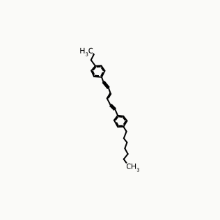 CCCCCCCc1ccc(C#C/C=C/C#Cc2ccc(CCC)cc2)cc1